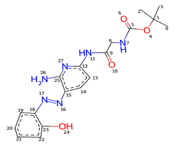 CC(C)(C)OC(=O)NCC(=O)Nc1ccc(N=Nc2ccccc2O)c(N)n1